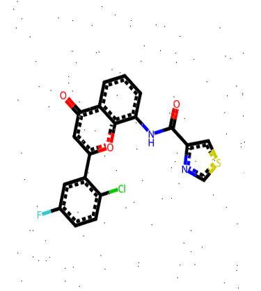 O=C(Nc1cccc2c(=O)cc(-c3cc(F)ccc3Cl)oc12)c1cscn1